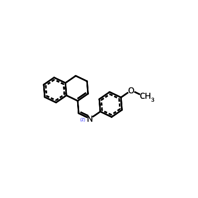 COc1ccc(/N=C\C2=CCCc3ccccc32)cc1